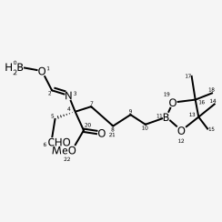 BOC=N[C@@](CC=O)(CCCCB1OC(C)(C)C(C)(C)O1)C(=O)OC